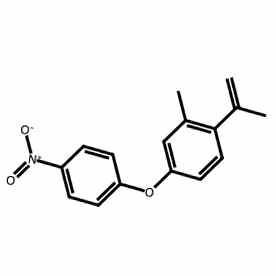 C=C(C)c1ccc(Oc2ccc([N+](=O)[O-])cc2)cc1C